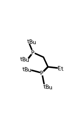 CCC(CP(C(C)(C)C)C(C)(C)C)P(C(C)(C)C)C(C)(C)C